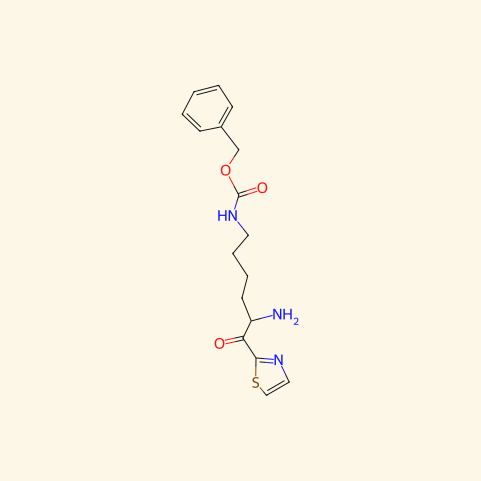 NC(CCCCNC(=O)OCc1ccccc1)C(=O)c1nccs1